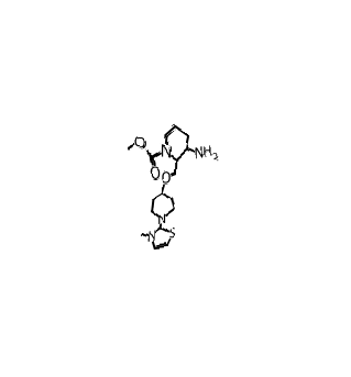 COC(=O)N1CCCC(N)C1COC1CCN(C2SC=CN2C)CC1